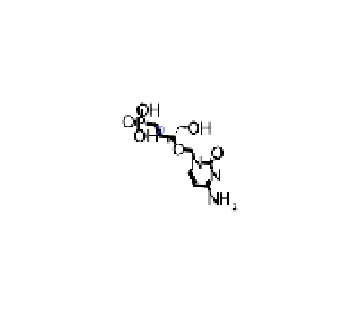 Nc1ccn(CO[C@H](/C=C/P(=O)(O)O)CO)c(=O)n1